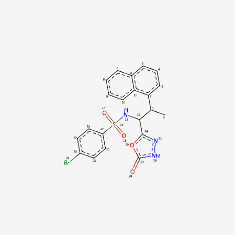 CC(c1cccc2ccccc12)C(NS(=O)(=O)c1ccc(Br)cc1)c1n[nH]c(=O)o1